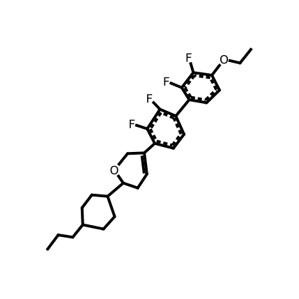 CCCC1CCC(C2CC=C(c3ccc(-c4ccc(OCC)c(F)c4F)c(F)c3F)CO2)CC1